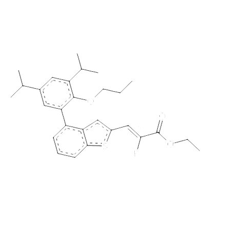 CCCOc1c(-c2cccc3sc(/C=C(\F)C(=O)OCC)cc23)cc(C(C)C)cc1C(C)C